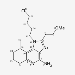 COCCc1nc2c(N)nc3c(c2n1CCCCCl)C(C)CCC3